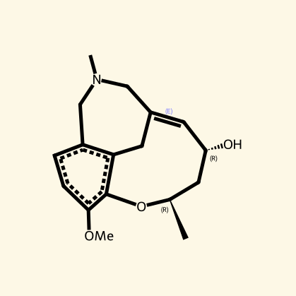 COc1ccc2c3c1O[C@H](C)C[C@@H](O)/C=C(\C3)CN(C)C2